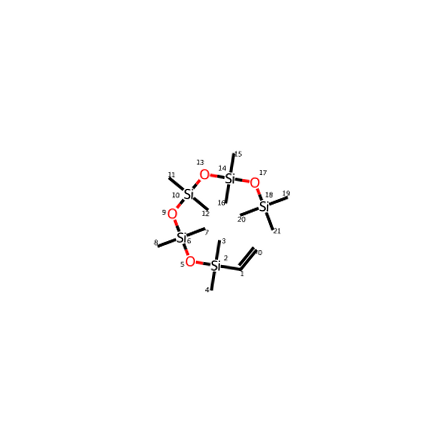 [CH]=C[Si](C)(C)O[Si](C)(C)O[Si](C)(C)O[Si](C)(C)O[Si](C)(C)C